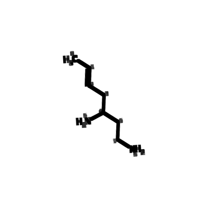 CC=CCC(N)CCN